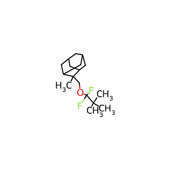 CC1(COC(F)(F)C(C)(C)C)C2CC3CC(C2)CC1C3